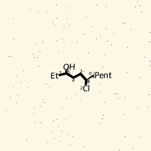 CCCC(C)[C@@H](Cl)CCC(O)CC